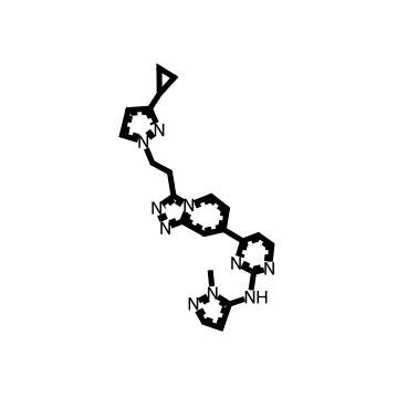 Cn1nccc1Nc1nccc(-c2ccn3c(CCn4ccc(C5CC5)n4)nnc3c2)n1